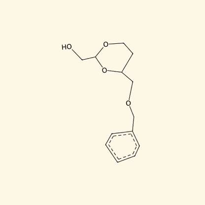 OCC1OCCC(COCc2ccccc2)O1